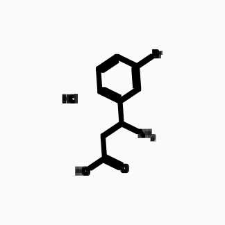 Cl.NC(CC(=O)O)c1cccc(Br)c1